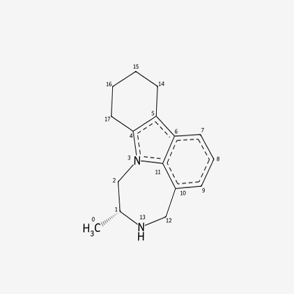 C[C@@H]1Cn2c3c(c4cccc(c42)CN1)CCCC3